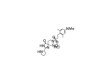 CNc1cc(C)c(CCS(=O)(=O)N2CCC3(CC2)N=C(C2CCCN2)NC3=O)c(C)c1.Cl.Cl